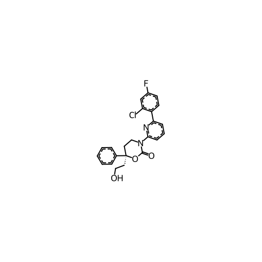 O=C1O[C@@](CCO)(c2ccccc2)CCN1c1cccc(-c2ccc(F)cc2Cl)n1